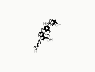 C[SiH](C)CCOCn1cc(C(=O)O)c2c(Oc3c(F)cc(NC4=NCC(C)(CO)CO4)cc3F)ccnc21